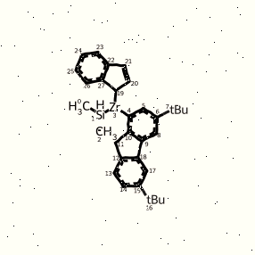 C[SiH](C)[Zr]([c]1cc(C(C)(C)C)cc2c1Cc1ccc(C(C)(C)C)cc1-2)[CH]1C=Cc2ccccc21